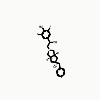 Oc1c(F)cc(C(O)CN2C[C@@H]3C[C@@](O)(Cc4ccccc4)C[C@@H]3C2)cc1F